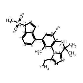 CCc1nnc2n1-c1c(C)c(-c3cccc4c3ccn4S(C)(=O)=O)cc(F)c1NC2(C)C